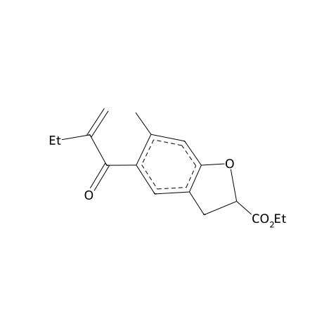 C=C(CC)C(=O)c1cc2c(cc1C)OC(C(=O)OCC)C2